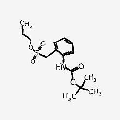 CCCOS(=O)(=O)Cc1ccccc1NC(=O)OC(C)(C)C